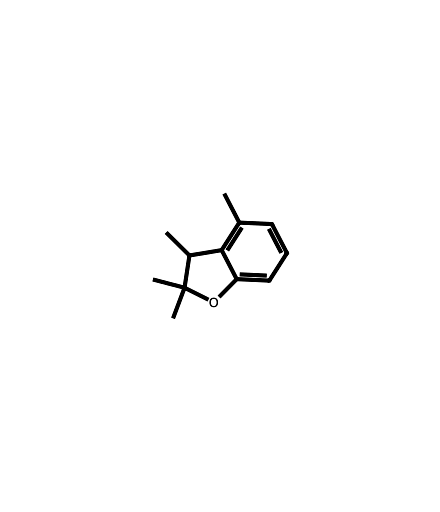 Cc1cccc2c1C(C)C(C)(C)O2